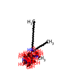 CCCCCCCCCCCCC/C=C/[C@@H](O)[C@H](CO[C@@H]1OC(CO)[C@@H](O[C@@H]2OC(CO)[C@H](O)[C@H](O[C@@H]3OC(CO)[C@@H](O)[C@H](O[C@@H]4OC(CO)[C@H](O)[C@H](O[C@@H]5OC(CO)[C@@H](O)[C@H](O[C@@H]6OC(CO)[C@H](O)[C@H](O[C@H]7OC(CO)[C@H](O)[C@H](O)C7NC(C)=O)C6O)C5NC(C)=O)C4O)C3NC(C)=O)C2O)[C@H](O)C1O)NC(=O)CCCCCCCCCCCCCCCCCCCCCCC